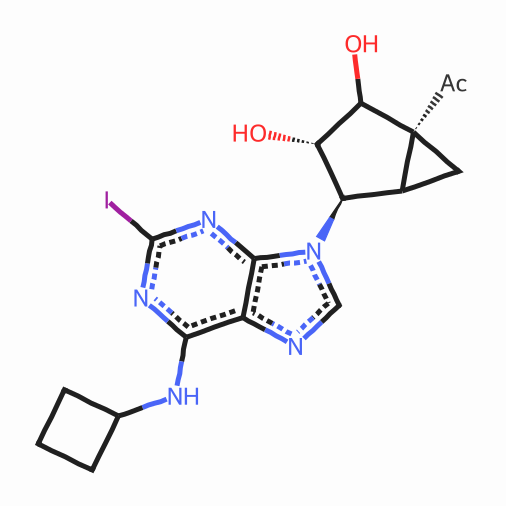 CC(=O)[C@]12CC1[C@@H](n1cnc3c(NC4CCC4)nc(I)nc31)[C@H](O)C2O